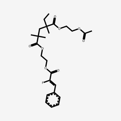 CCC(C)(CC(C)(C)C(=O)OCCOC(=O)/C(F)=C/c1ccccc1)C(=O)OCCOC(C)=O